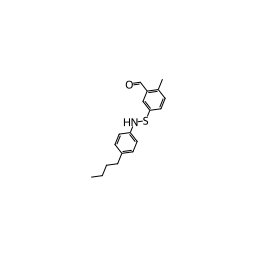 CCCCc1ccc(NSc2ccc(C)c(C=O)c2)cc1